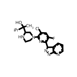 CC(C)C(C)(O)C1CN(c2nc(C3N=Nc4ncccc43)c(F)cc2Cl)CCN1